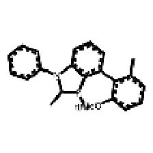 COc1cccc(C)c1-c1cccc2c1P(C(C)(C)C)C(C)N2c1ccccc1